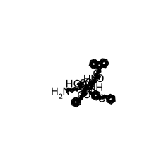 NCCCC[C@@H](C(=O)O)N(C(=O)OCc1ccccc1)C(=O)[C@H](Cc1ccc(OCc2ccccc2)cc1)NC(=O)CNC(=O)OCC1c2ccccc2-c2ccccc21